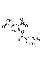 CCN(CC)C(=S)Oc1ccc(C(C)=O)cc1[N+](=O)[O-]